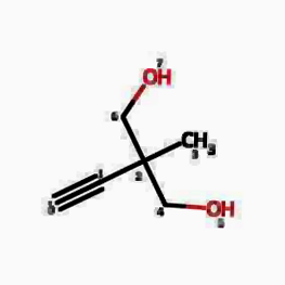 [C]#CC(C)(CO)CO